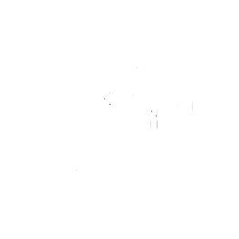 CNC(=O)N1CCCCC(C)S1